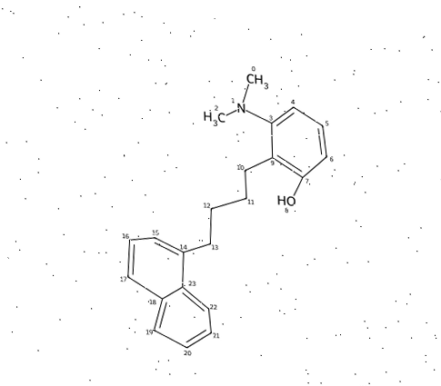 CN(C)c1cccc(O)c1CCCCc1cccc2ccccc12